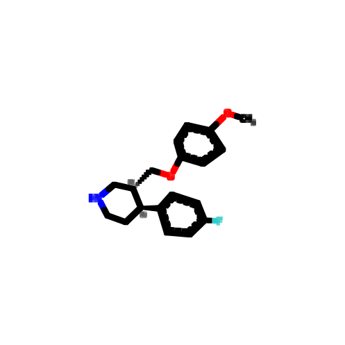 COc1ccc(OC[C@H]2CNCC[C@@H]2c2ccc(F)cc2)cc1